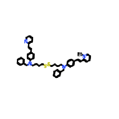 CC[n+]1ccccc1/C=C/c1ccc(N(CCCCSSCCCCN(Cc2ccccc2)c2ccc(/C=C/c3ccccn3)cc2)Cc2ccccc2)cc1